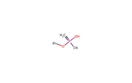 C=P(O)(C#N)OC(C)C